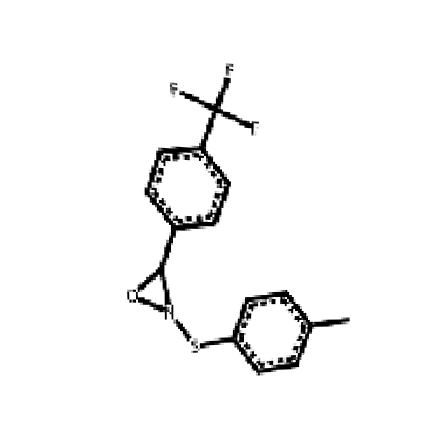 Cc1ccc(SN2OC2c2ccc(C(F)(F)F)cc2)cc1